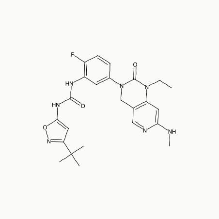 CCN1C(=O)N(c2ccc(F)c(NC(=O)Nc3cc(C(C)(C)C)no3)c2)Cc2cnc(NC)cc21